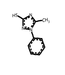 Cc1nc(S)nn1-c1ccccc1